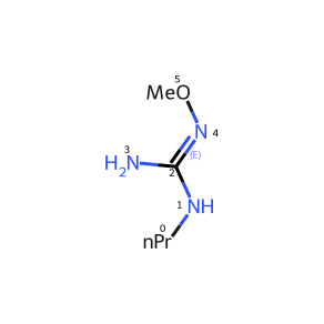 CCCN/C(N)=N/OC